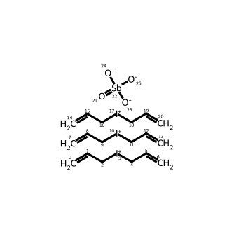 C=CC[I+]CC=C.C=CC[I+]CC=C.C=CC[I+]CC=C.[O]=[Sb]([O-])([O-])[O-]